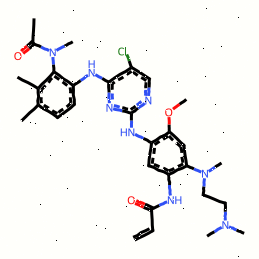 C=CC(=O)Nc1cc(Nc2ncc(Cl)c(Nc3ccc(C)c(C)c3N(C)C(C)=O)n2)c(OC)cc1N(C)CCN(C)C